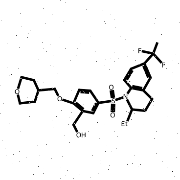 CCC1CCc2cc(C(C)(F)F)ccc2N1S(=O)(=O)c1ccc(OCC2CCOCC2)c(CO)c1